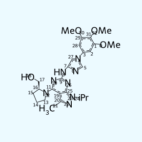 COc1cc(-n2cnc(Nc3nc(N4CCC[C@H]4CO)c4c(C)nn(C(C)C)c4n3)c2)cc(OC)c1OC